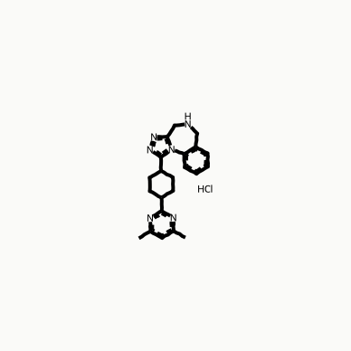 Cc1cc(C)nc(C2CCC(c3nnc4n3-c3ccccc3CNC4)CC2)n1.Cl